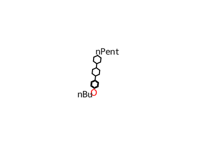 CCCCCC1CCC(C2CCC(c3ccc(OCCCC)cc3)CC2)CC1